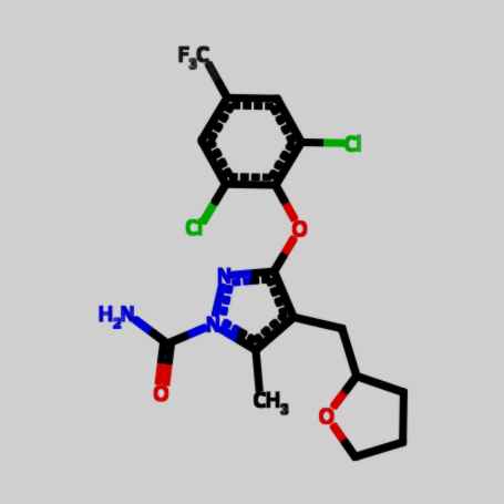 Cc1c(CC2CCCO2)c(Oc2c(Cl)cc(C(F)(F)F)cc2Cl)nn1C(N)=O